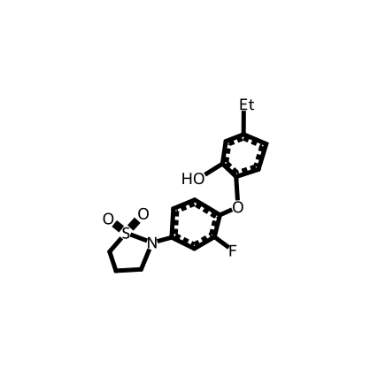 CCc1ccc(Oc2ccc(N3CCCS3(=O)=O)cc2F)c(O)c1